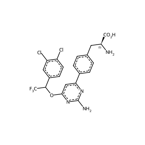 Nc1nc(OC(c2ccc(Cl)c(Cl)c2)C(F)(F)F)cc(-c2ccc(C[C@H](N)C(=O)O)cc2)n1